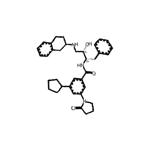 O=C(N[C@@H](Cc1ccccc1)[C@@H](O)CNC1CCc2ccccc2C1)c1cc(C2CCCC2)cc(N2CCCC2=O)c1